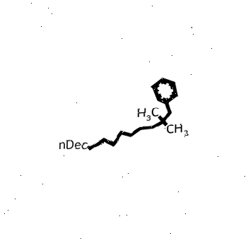 CCCCCCCCCCCCCCCCCC(C)(C)Cc1ccccc1